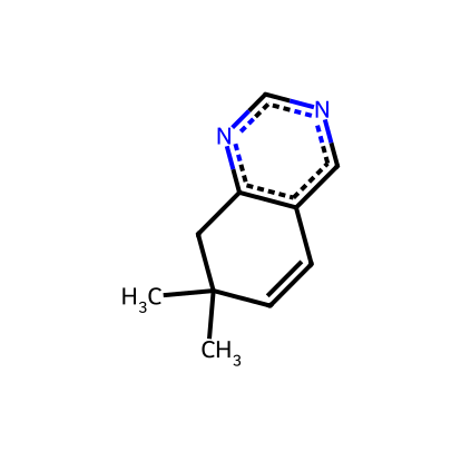 CC1(C)C=Cc2cncnc2C1